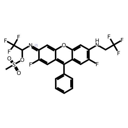 CS(=O)(=O)OC(/N=c1/cc2oc3cc(NCC(F)(F)F)c(F)cc3c(-c3ccccc3)c-2cc1F)C(F)(F)F